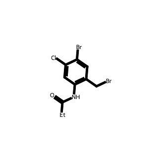 CCC(=O)Nc1cc(Cl)c(Br)cc1CBr